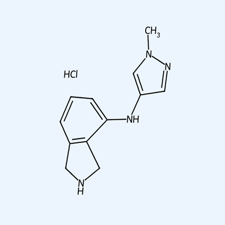 Cl.Cn1cc(Nc2cccc3c2CNC3)cn1